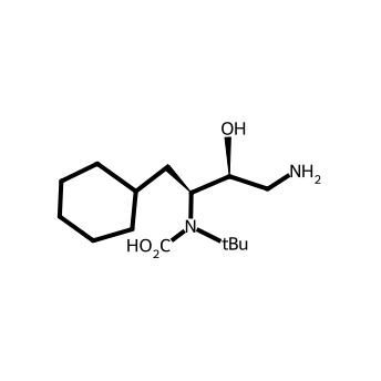 CC(C)(C)N(C(=O)O)[C@@H](CC1CCCCC1)[C@@H](O)CN